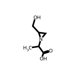 CC(C(=O)O)N1CC1CO